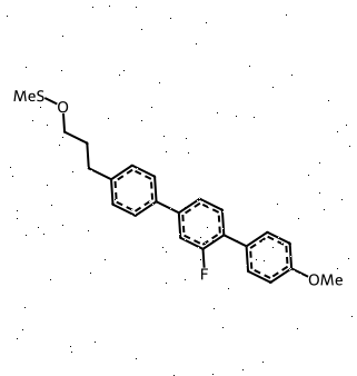 COc1ccc(-c2ccc(-c3ccc(CCCOSC)cc3)cc2F)cc1